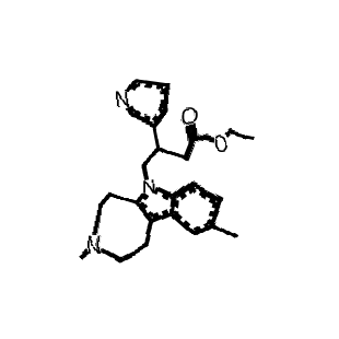 CCOC(=O)CC(Cn1c2c(c3cc(C)ccc31)CCN(C)CC2)c1cccnc1